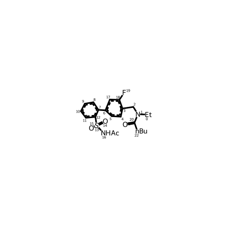 [CH2]CN(Cc1ccc(-c2ccccc2S(=O)(=O)NC(C)=O)cc1F)C(=O)CCCC